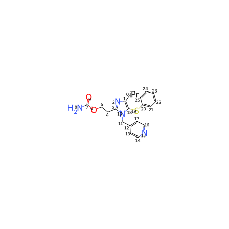 CC(C)c1nc(CCOC(N)=O)n(Cc2ccncc2)c1Sc1ccccc1